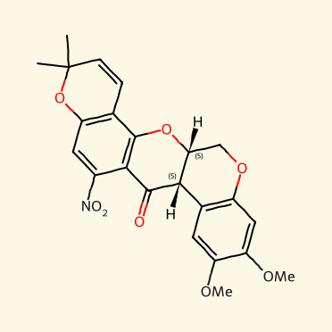 COc1cc2c(cc1OC)[C@@H]1C(=O)c3c([N+](=O)[O-])cc4c(c3O[C@@H]1CO2)C=CC(C)(C)O4